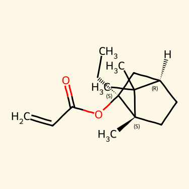 C=CC(=O)O[C@@]1(CC)C[C@H]2CC[C@@]1(C)C2(C)C